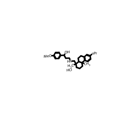 CCCc1ccc2c(c1)CCC1C(C)(CNCCC(O)c3ccc(OC)cc3)CCCC21C.Cl